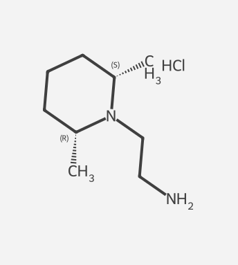 C[C@@H]1CCC[C@H](C)N1CCN.Cl